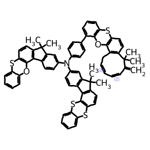 C=C1/C=C\C=C/Cc2c(ccc3c2Oc2c(cccc2-c2ccc(N(c4ccc5c(c4)C(C)(C)c4ccc6c(c4-5)Oc4ccccc4S6)c4ccc5c(c4)C(C)(C)c4ccc6c(c4-5)Sc4ccccc4S6)cc2)S3)C1(C)C